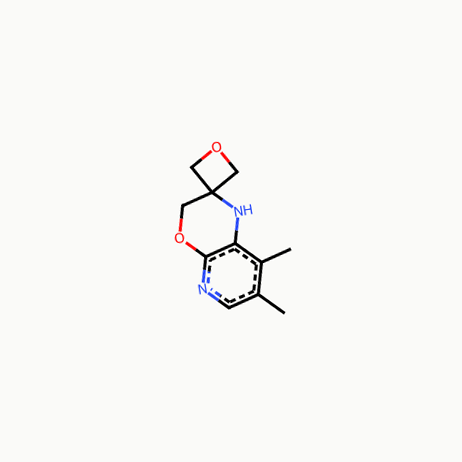 Cc1cnc2c(c1C)NC1(COC1)CO2